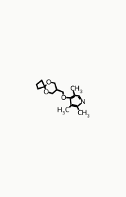 Cc1cnc(C)c(C)c1OCC1COC2(CCC2)OC1